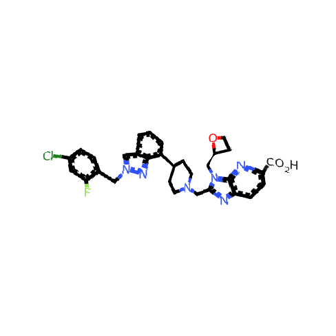 O=C(O)c1ccc2nc(CN3CCC(c4cccc5cn(Cc6ccc(Cl)cc6F)nc45)CC3)n(C[C@@H]3CCO3)c2n1